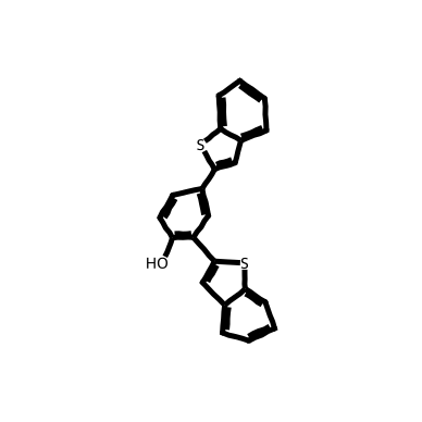 Oc1ccc(-c2cc3ccccc3s2)cc1-c1cc2ccccc2s1